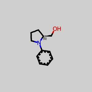 OC[C@@H]1CCCN1c1ccccc1